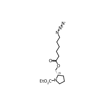 CCOC(=O)N1CCC[C@H]1COC(=O)CCCCCN=[N+]=[N-]